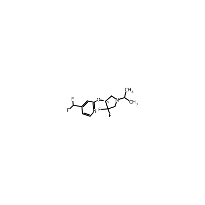 CC(C)N1C[C@H](Oc2cc(C(F)F)ccn2)C(F)(F)C1